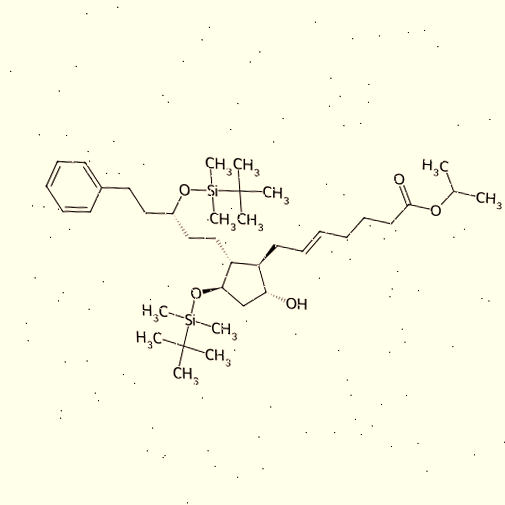 CC(C)OC(=O)CCCC=CC[C@@H]1[C@@H](CC[C@H](CCc2ccccc2)O[Si](C)(C)C(C)(C)C)[C@H](O[Si](C)(C)C(C)(C)C)C[C@H]1O